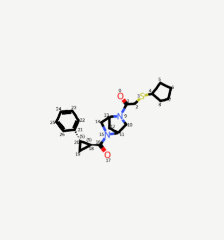 O=C(CSC1CCCC1)N1CC2CC1CN2C(=O)[C@H]1C[C@@H]1c1ccccc1